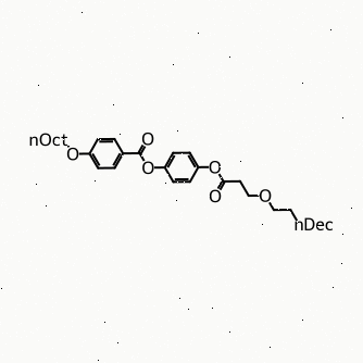 CCCCCCCCCCCCOCCC(=O)Oc1ccc(OC(=O)c2ccc(OCCCCCCCC)cc2)cc1